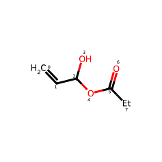 C=C[C](O)OC(=O)CC